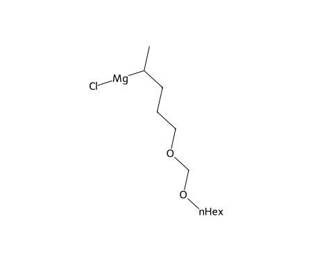 CCCCCCOCOCCC[CH](C)[Mg][Cl]